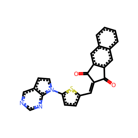 O=C1C(=Cc2ccc(-n3ccc4cncnc43)s2)C(=O)c2cc3ccccc3cc21